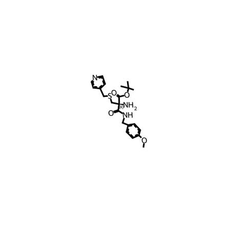 COc1ccc(CNC(=O)[C@](N)(CSCc2ccncc2)C(=O)OC(C)(C)C)cc1